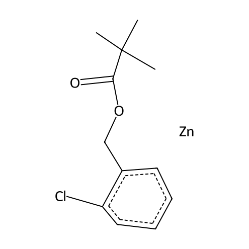 CC(C)(C)C(=O)OCc1ccccc1Cl.[Zn]